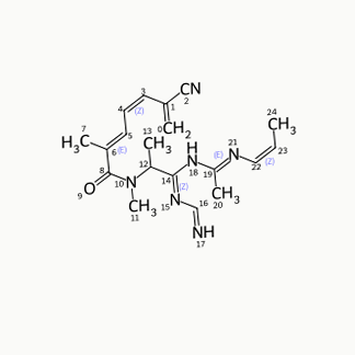 C=C(C#N)/C=C\C=C(/C)C(=O)N(C)C(C)/C(=N/C=N)N/C(C)=N/C=C\C